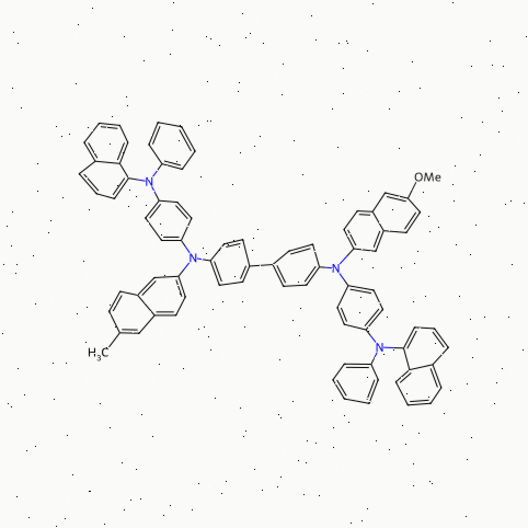 COc1ccc2cc(N(c3ccc(-c4ccc(N(c5ccc(N(c6ccccc6)c6cccc7ccccc67)cc5)c5ccc6cc(C)ccc6c5)cc4)cc3)c3ccc(N(c4ccccc4)c4cccc5ccccc45)cc3)ccc2c1